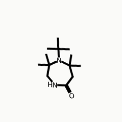 CC(C)(C)N1C(C)(C)CNC(=O)CC1(C)C